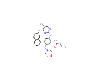 C=CC(=O)Nc1cc(CN2CCOCC2)ccc1Nc1ncc(Cl)c(Nc2ccc3ccccc3c2)n1